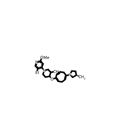 CCc1cnc(OC)cc1N1CCC(OC2=C/C/C=C(/N3CC[C@@H](C)C3)C/C=C\2)C(C)C1